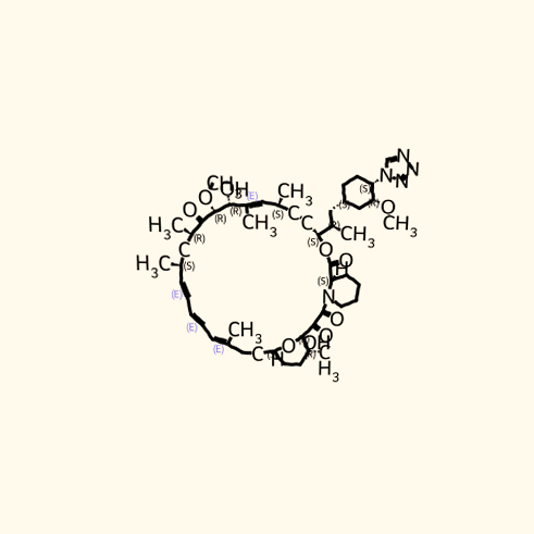 CO[C@@H]1C[C@H](C[C@@H](C)[C@@H]2CC[C@H](C)/C=C(\C)[C@@H](O)[C@@H](OC)C(=O)[C@H](C)C[C@H](C)/C=C/C=C/C=C(\C)CC[C@@H]3CC[C@@H](C)[C@@](O)(O3)C(=O)C(=O)N3CCCC[C@H]3C(=O)O2)CC[C@@H]1n1cnnn1